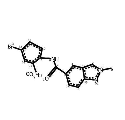 Cn1cc2cc(C(=O)Nc3ccc(Br)cc3C(=O)O)ccc2n1